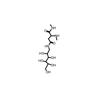 CNC(=O)C(CC(=O)NCC(O)C(O)C(O)C(O)CO)NC